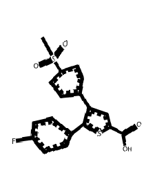 CS(=O)(=O)c1ccc(-c2cc(C(=O)O)sc2-c2ccc(F)cc2)cc1